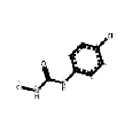 O=C(NCl)Nc1ccc(Cl)cc1